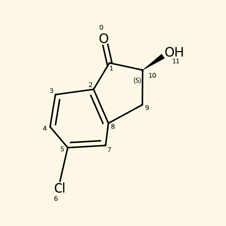 O=C1c2ccc(Cl)cc2C[C@@H]1O